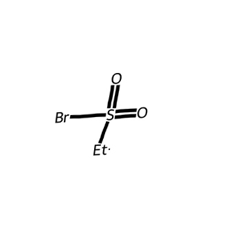 C[CH]S(=O)(=O)Br